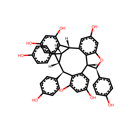 Oc1ccc([C@@H]2c3c(O)cc(O)cc3[C@@H]3c4c(cc(O)cc4[C@H]4c5c(O)cc(O)cc5[C@@H]2[C@@H]4c2ccc(O)cc2)O[C@H]3c2ccc(O)cc2)cc1